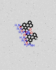 N=C(N)c1cc2c3cccc4cccc(c5c(C(=O)NC(=O)c6c(C(N)=O)c(C(N)=O)c7c(C(N)=O)ccc8c9cccc%10cccc(c6c78)c%109)c(C(N)=O)c(C(N)=O)c(c1C(N)=O)c25)c43